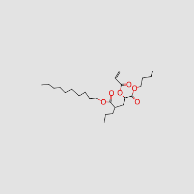 C=CC(=O)OC(CC(CCC)C(=O)OCCCCCCCCCC)C(=O)OCCCC